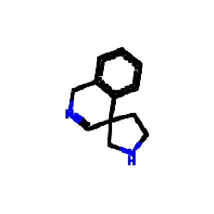 C1=NCc2ccccc2C12CCNC2